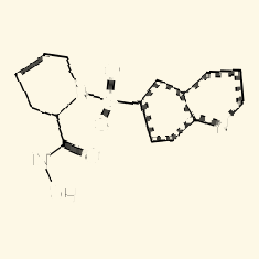 O=C(NO)C1CC=CCN1S(=O)(=O)c1ccc2ncccc2c1